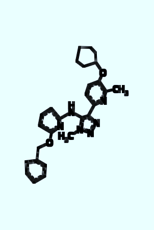 Cc1nc(-c2nnn(C)c2Nc2cccc(OCc3ccccc3)n2)ccc1OC1CCCCC1